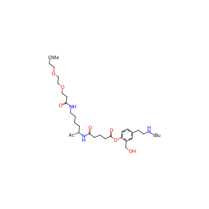 COCCOCCOCCC(=O)NCCCCC(NC(=O)CCCC(=O)Oc1ccc(CCNC(C)(C)C)cc1CO)C(C)=O